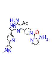 CC(=O)c1c(C2CCN(C(=O)c3ncccc3N)CC2)nc2c(-c3ccc(-c4cnn(C)c4)nc3)cnn2c1N